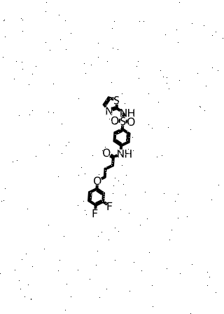 O=C(CCCOc1ccc(F)c(F)c1)Nc1ccc(S(=O)(=O)Nc2nccs2)cc1